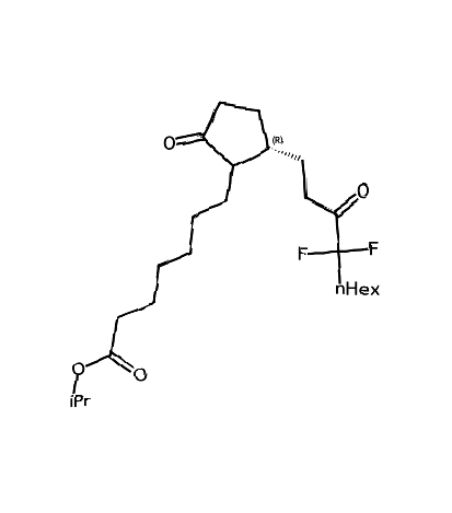 CCCCCCC(F)(F)C(=O)CC[C@H]1CCC(=O)C1CCCCCCC(=O)OC(C)C